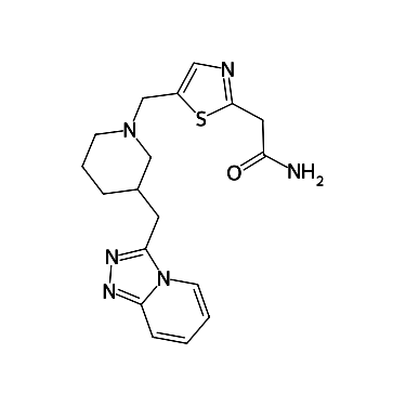 NC(=O)Cc1ncc(CN2CCCC(Cc3nnc4ccccn34)C2)s1